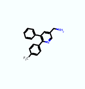 NCc1cnc(-c2ccc(C(F)(F)F)cc2)c(-c2ccccc2)c1